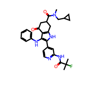 CN(CC1CC1)C(=O)C1CC(=O)c2c([nH]c(-c3ccnc(NC(=O)C(C)(C)F)c3)c2Nc2ccccc2)C1